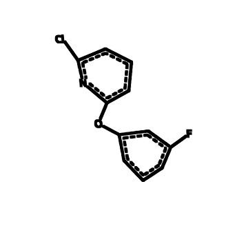 Fc1cccc(Oc2cccc(Cl)n2)c1